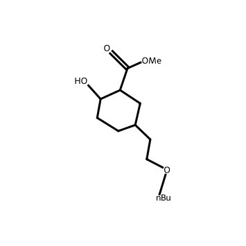 CCCCOCCC1CCC(O)C(C(=O)OC)C1